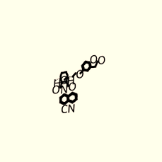 C[C@]12CC[C@](CCOc3ccc4c(c3)CC(=O)O4)(O1)[C@@H]1C(=O)N(c3ccc(C#N)c4ccccc34)C(=O)[C@@H]12